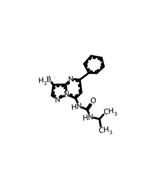 Bc1cnn2c(NC(=O)NC(C)C)cc(-c3ccccc3)nc12